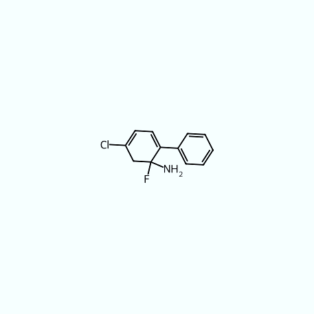 NC1(F)CC(Cl)=CC=C1c1ccccc1